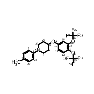 [CH2]c1ccc(N2CCC(Oc3ccc(OC(F)(F)F)c(OC(F)(F)F)c3)CC2)cc1